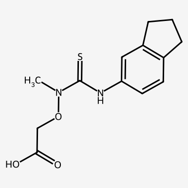 CN(OCC(=O)O)C(=S)Nc1ccc2c(c1)CCC2